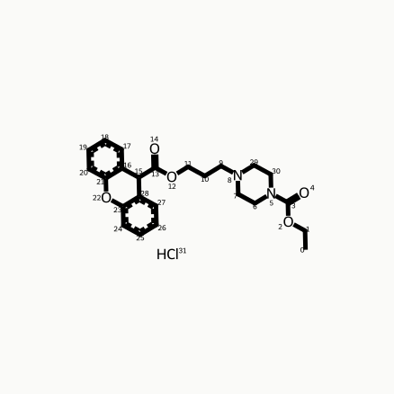 CCOC(=O)N1CCN(CCCOC(=O)C2c3ccccc3Oc3ccccc32)CC1.Cl